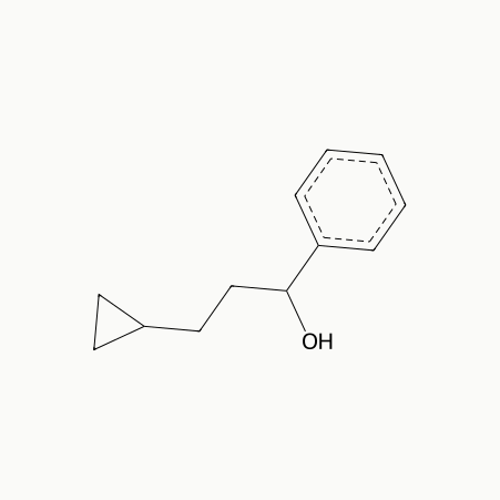 OC(CCC1CC1)c1ccccc1